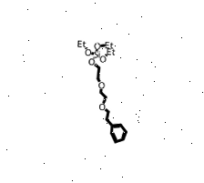 CCO[Si](OCC)(OCC)OCCOCCOCCc1ccccc1